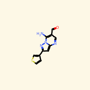 Nc1c(C=O)cnc2cc(-c3ccsc3)nn12